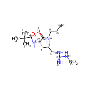 CCCC(C)(C)C(=O)N[C@@H](CCCNC(=N)N[N+](=O)[O-])C(=O)N[CH]CC(C)C